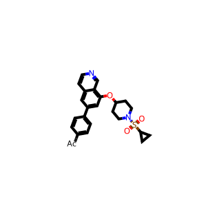 CC(=O)c1ccc(-c2cc(OC3CCN(S(=O)(=O)C4CC4)CC3)c3cnccc3c2)cc1